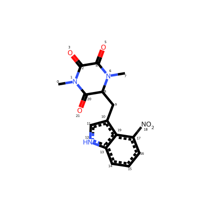 CN1C(=O)C(=O)N(C)C(Cc2c[nH]c3cccc([N+](=O)[O-])c23)C1=O